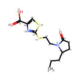 CCCC1CCC(=O)N1CCSc1nc(C(=O)O)cs1